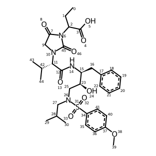 CCC(C(=O)O)N1C(=O)CN([C@H](C(=O)N[C@@H](Cc2ccccc2)[C@@H](O)CN(CC(C)C)S(=O)(=O)c2ccc(OC)cc2)C(C)C)C1=O